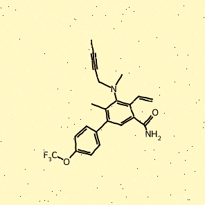 C=Cc1c(C(N)=O)cc(-c2ccc(OC(F)(F)F)cc2)c(C)c1N(C)CC#CC